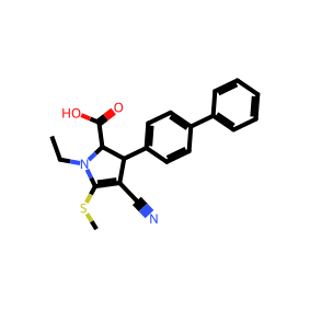 CCN1C(SC)=C(C#N)C(c2ccc(-c3ccccc3)cc2)C1C(=O)O